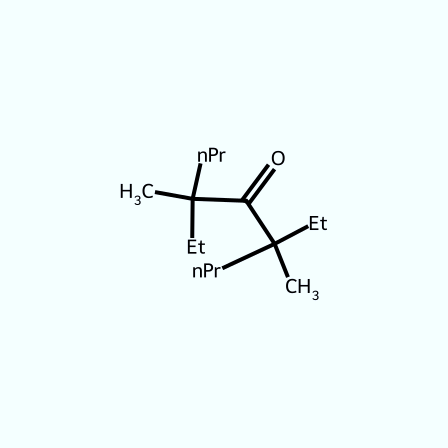 CCCC(C)(CC)C(=O)C(C)(CC)CCC